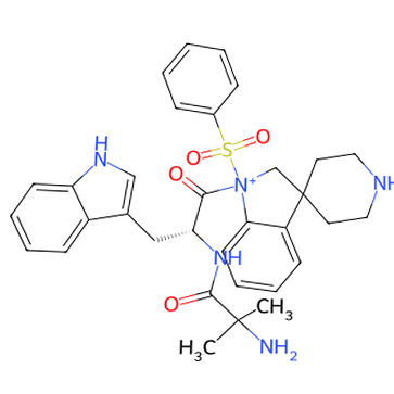 CC(C)(N)C(=O)N[C@H](Cc1c[nH]c2ccccc12)C(=O)[N+]1(S(=O)(=O)c2ccccc2)CC2(CCNCC2)c2ccccc21